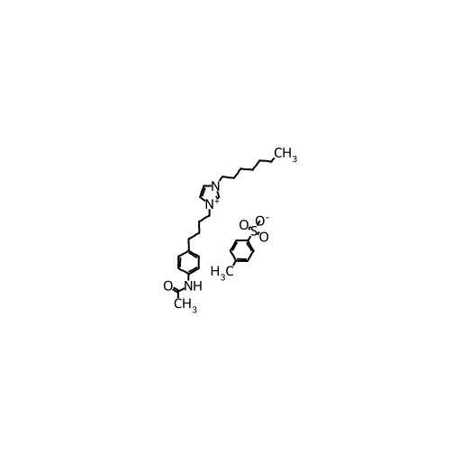 CCCCCCCn1cc[n+](CCCCc2ccc(NC(C)=O)cc2)c1.Cc1ccc(S(=O)(=O)[O-])cc1